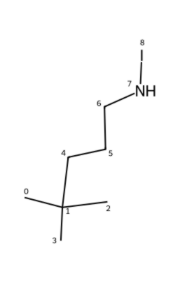 CC(C)(C)CCCNI